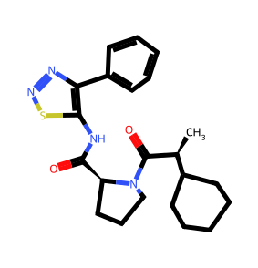 C[C@H](C(=O)N1CCC[C@H]1C(=O)Nc1snnc1-c1ccccc1)C1CCCCC1